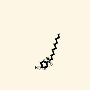 CCCCCCCCCCS(=O)(=O)c1ccc(O)cc1